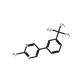 CC(C)(C)c1cccc(-c2cnc(N)nc2)c1